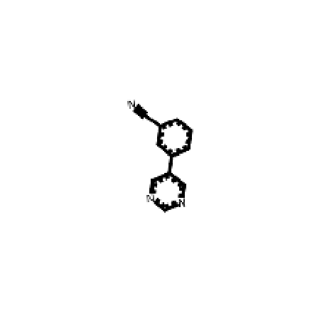 N#Cc1cccc(-c2cn[c]nc2)c1